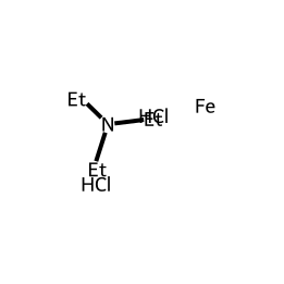 CCN(CC)CC.Cl.Cl.[Fe]